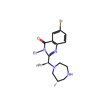 CCC[C@@H](c1nc2ccc(Br)cc2c(=O)n1CC)N1CCNC[C@H](C)C1